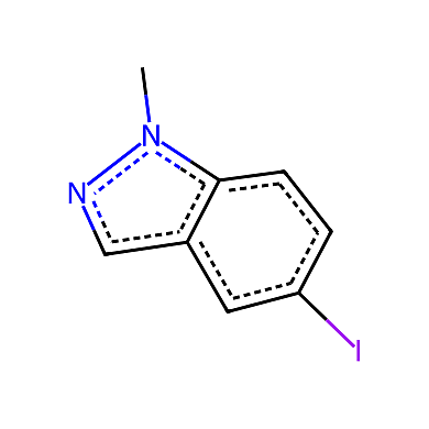 Cn1ncc2cc(I)ccc21